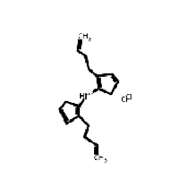 C=CCCC1=[C]([Hf+2][C]2=C(CCC=C)C=CC2)CC=C1.[Cl-].[Cl-]